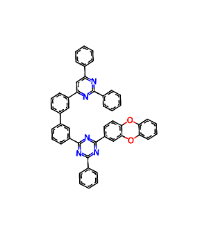 c1ccc(-c2cc(-c3cccc(-c4cccc(-c5nc(-c6ccccc6)nc(-c6ccc7c(c6)Oc6ccccc6O7)n5)c4)c3)nc(-c3ccccc3)n2)cc1